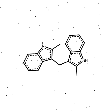 Cc1[nH]c2ccccc2c1Cc1c(C)[nH]c2ccccc12